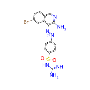 N=C(N)NS(=O)(=O)c1ccc(/N=N/c2c(N)ncc3ccc(Br)cc23)cc1